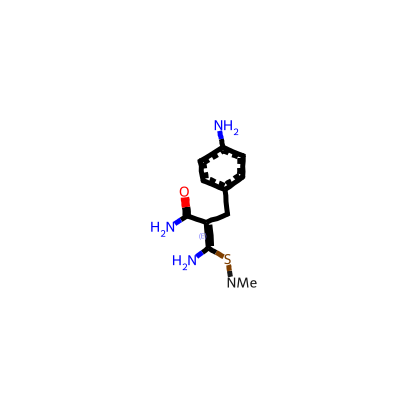 CNS/C(N)=C(\Cc1ccc(N)cc1)C(N)=O